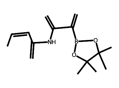 C=C(/C=C\C)NC(=C)C(=C)B1OC(C)(C)C(C)(C)O1